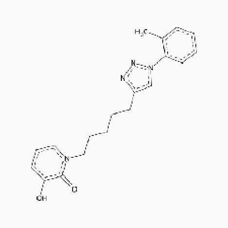 Cc1ccccc1-n1cc(CCCCCn2cccc(O)c2=O)nn1